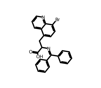 O=C(O)C(Cc1ccc(Br)c2ncccc12)N=C(c1ccccc1)c1ccccc1